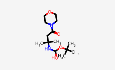 CC(C)(CC(=O)N1CCOCC1)NC(O)OC(C)(C)C